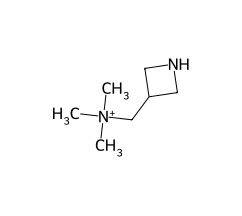 C[N+](C)(C)CC1CNC1